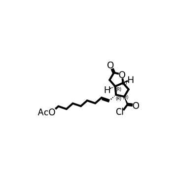 CC(=O)OCCCCCCC=C[C@@H]1[C@H]2CC(=O)O[C@@H]2C[C@H]1C(=O)Cl